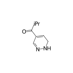 CC(C)C(=O)C1=CCNN=C1